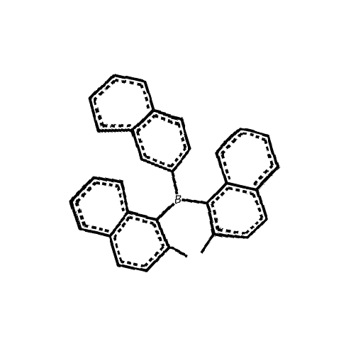 Cc1ccc2ccccc2c1B(c1ccc2ccccc2c1)c1c(C)ccc2ccccc12